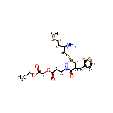 CCOC(=O)COC(=O)CCNC(=O)C(CSSCC(N)CCSC)Cc1ccsc1